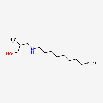 CCCCCCCCCCCCCCCCNCC(C)CO